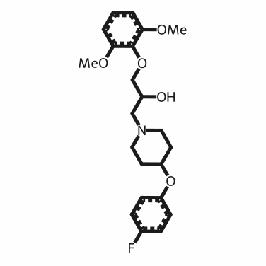 COc1cccc(OC)c1OCC(O)CN1CCC(Oc2ccc(F)cc2)CC1